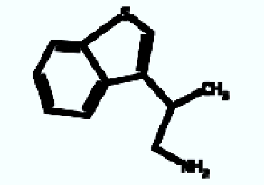 CC(CN)c1csc2ccccc12